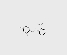 CON=C(Cl)c1ccccc1OCc1ccc(Cl)cc1Cl